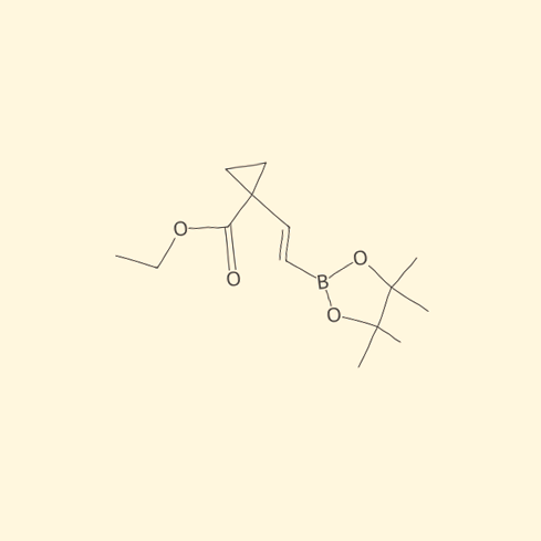 CCOC(=O)C1(/C=C/B2OC(C)(C)C(C)(C)O2)CC1